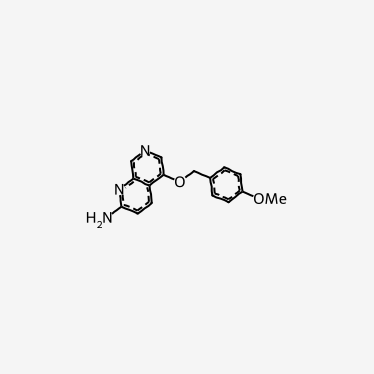 COc1ccc(COc2cncc3nc(N)ccc23)cc1